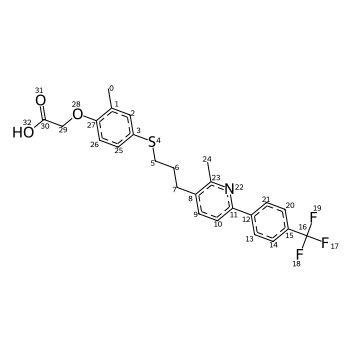 Cc1cc(SCCCc2ccc(-c3ccc(C(F)(F)F)cc3)nc2C)ccc1OCC(=O)O